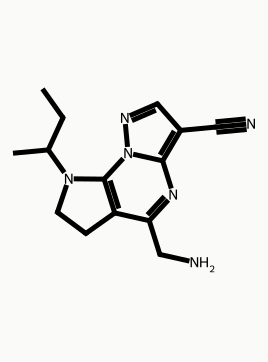 CCC(C)N1CCc2c(CN)nc3c(C#N)cnn3c21